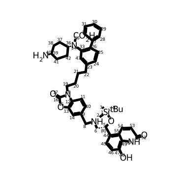 CC(C)(C)[Si](C)(C)O[C@@H](CNCc1ccc2c(c1)oc(=O)n2CCCCc1ccc(-c2ccccc2)c(N(C(=O)O)[C@H]2CC[C@H](N)CC2)c1)c1ccc(O)c2[nH]c(=O)ccc12